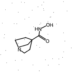 O=C(NO)C12CCN(CC1)CC2